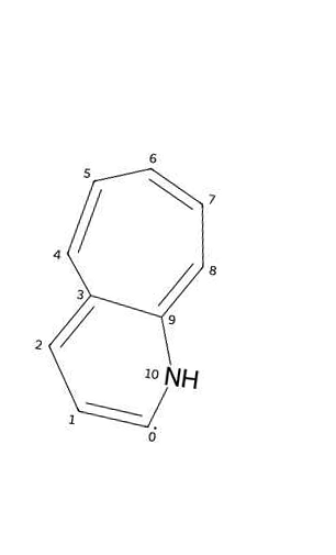 [C]1=CC=C2C=CC=CC=C2N1